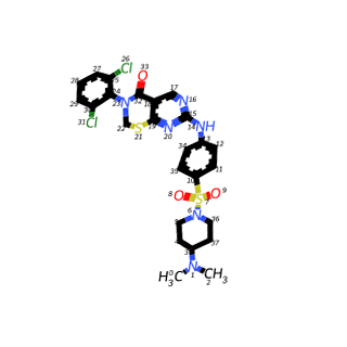 CN(C)C1CCN(S(=O)(=O)c2ccc(Nc3ncc4c(n3)SCN(c3c(Cl)cccc3Cl)C4=O)cc2)CC1